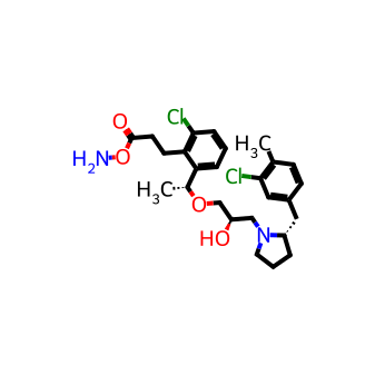 Cc1ccc(C[C@@H]2CCCN2C[C@@H](O)CO[C@H](C)c2cccc(Cl)c2CCC(=O)ON)cc1Cl